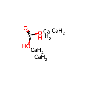 O=[Si](O)O.[CaH2].[CaH2].[CaH2].[CaH2]